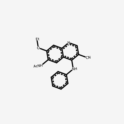 CCOc1cc2ncc(C#N)c(Nc3ccccc3)c2cc1NC(C)=O